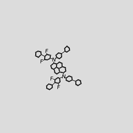 Fc1cc(N(c2ccc(-c3ccccc3)cc2)c2ccc3ccc4c(N(c5ccc(-c6ccccc6)cc5)c5cc(F)c(-c6ccccc6)c(F)c5)ccc5ccc2c3c54)cc(F)c1-c1ccccc1